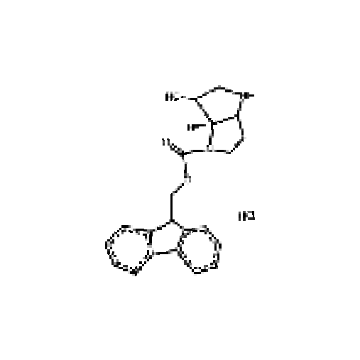 Cl.O=C(OCC1c2ccccc2-c2ccccc21)N1CCC2NCC(O)[C@H]21